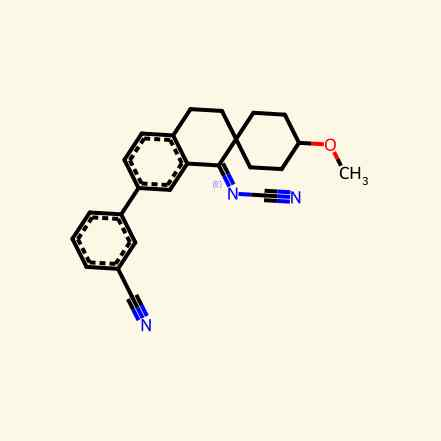 COC1CCC2(CCc3ccc(-c4cccc(C#N)c4)cc3/C2=N/C#N)CC1